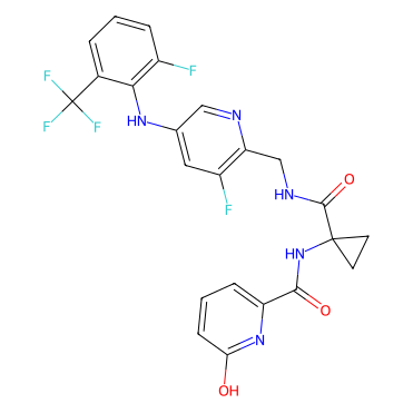 O=C(NC1(C(=O)NCc2ncc(Nc3c(F)cccc3C(F)(F)F)cc2F)CC1)c1cccc(O)n1